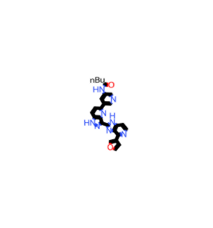 CCCCC(=O)Nc1cncc(-c2ccc3[nH]nc(-c4nc5c(-c6ccoc6)nccc5[nH]4)c3n2)c1